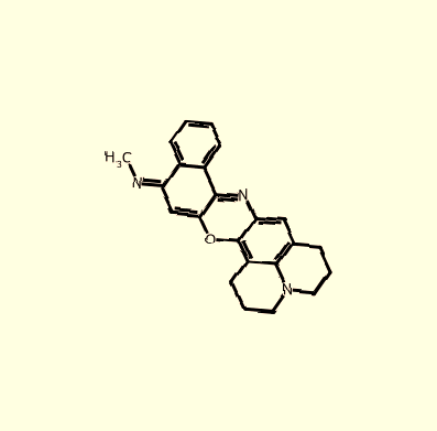 C/N=c1/cc2oc3c4c5c(cc3nc-2c2ccccc12)CCCN5CCC4